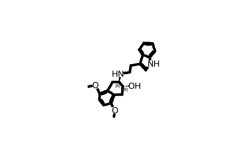 COc1ccc(OC)c2c1C[C@@H](O)[C@H](NCCc1c[nH]c3ccccc13)C2